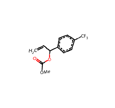 C=CC(OC(=O)OC)c1ccc(C(F)(F)F)cc1